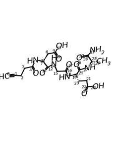 C#CCCC(=O)N[C@@H](CC(=O)O)C(=O)NCC(=O)N[C@@H](CCC(=O)O)C(=O)N[C@@H](C)C(N)=O